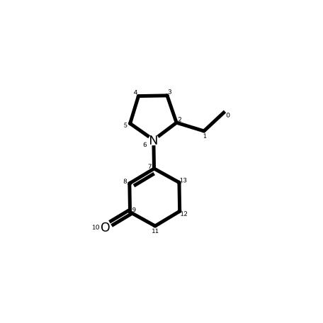 CCC1CCCN1C1=CC(=O)CCC1